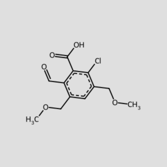 COCc1cc(COC)c(C=O)c(C(=O)O)c1Cl